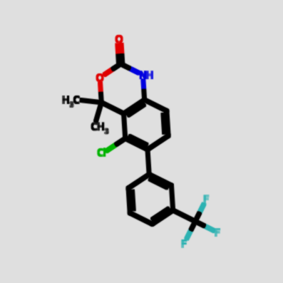 CC1(C)OC(=O)Nc2ccc(-c3cccc(C(F)(F)F)c3)c(Cl)c21